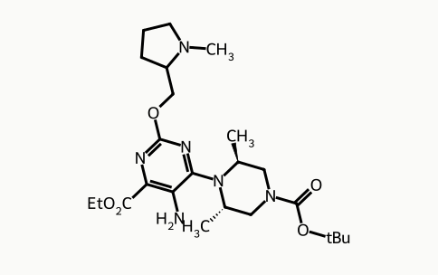 CCOC(=O)c1nc(OCC2CCCN2C)nc(N2[C@@H](C)CN(C(=O)OC(C)(C)C)C[C@@H]2C)c1N